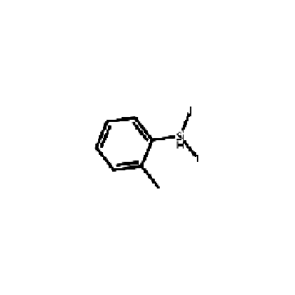 Cc1ccccc1[SiH](I)I